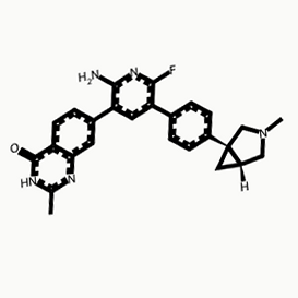 Cc1nc2cc(-c3cc(-c4ccc([C@]56C[C@H]5CN(C)C6)cc4)c(F)nc3N)ccc2c(=O)[nH]1